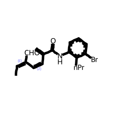 C=C(/C=C\C(C=O)=C/C)C(=O)Nc1cccc(Br)c1CCC